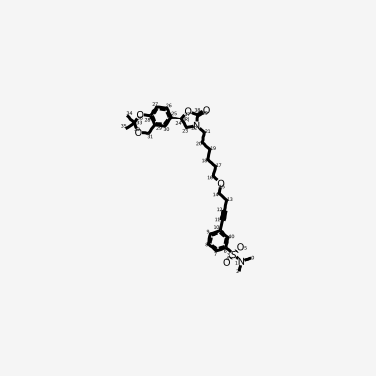 CN(C)S(=O)(=O)c1cccc(C#CCCOCCCCCCN2C[C@@H](c3ccc4c(c3)COC(C)(C)O4)OC2=O)c1